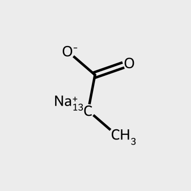 C[13CH2]C(=O)[O-].[Na+]